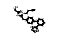 C#CCCn1nc(CS)nc1Cc1ccc(-c2ccccc2-c2nnn[nH]2)cc1